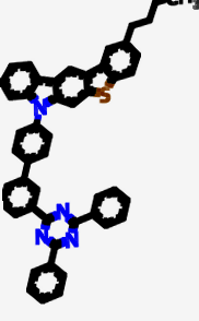 CCCCc1ccc2sc3cc4c(cc3c2c1)c1ccccc1n4-c1ccc(-c2cccc(-c3nc(-c4ccccc4)nc(-c4ccccc4)n3)c2)cc1